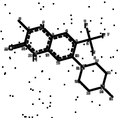 Cc1nc2cc(C(F)(F)F)c(N3CCN(C)CC3)cc2[nH]c1=O